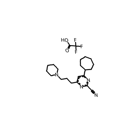 N#Cc1nc(CCCN2CCCCC2)cc(C2CCCCCC2)n1.O=C(O)C(F)(F)F